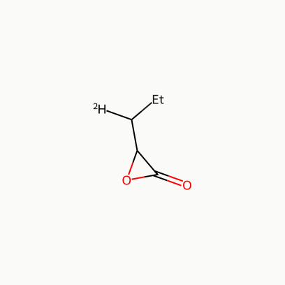 [2H]C(CC)C1OC1=O